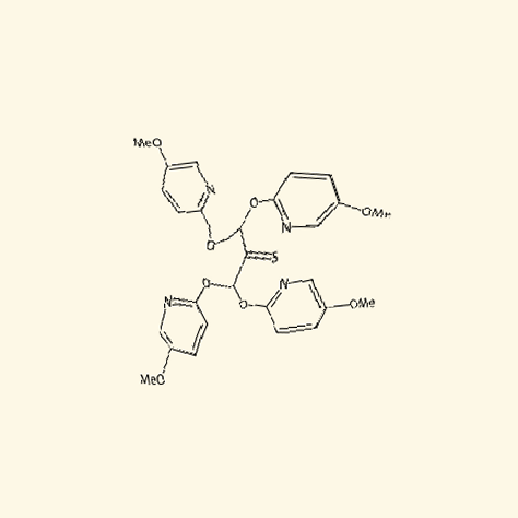 COc1ccc(OC(Oc2ccc(OC)cn2)C(=S)C(Oc2ccc(OC)cn2)Oc2ccc(OC)cn2)nc1